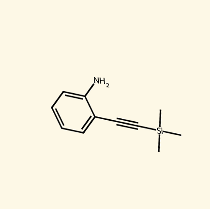 C[Si](C)(C)C#Cc1ccccc1N